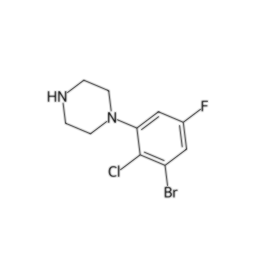 Fc1cc(Br)c(Cl)c(N2CCNCC2)c1